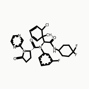 CC1([C@@H](C(=O)NC2CCC(F)(F)CC2)N(C(=O)[C@@H]2CCC(=O)N2c2cnccn2)c2cccc(F)c2)C=CC=CC1Cl